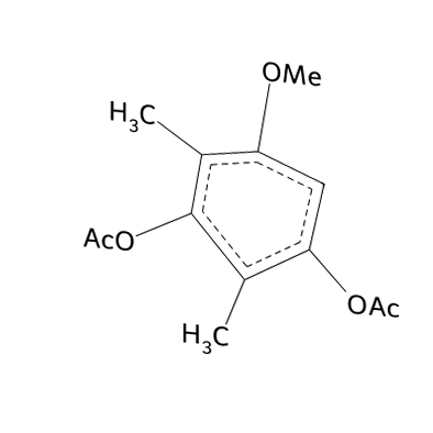 COc1cc(OC(C)=O)c(C)c(OC(C)=O)c1C